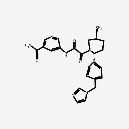 C[C@H]1CC[C@H](c2ccc(Cn3ccnc3)cc2)N(C(=O)C(=O)Nc2cncc(C(N)=O)c2)C1